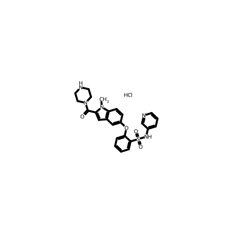 Cl.Cn1c(C(=O)N2CCNCC2)cc2cc(Oc3ccccc3S(=O)(=O)Nc3cccnc3)ccc21